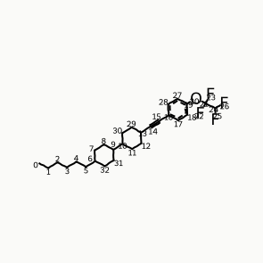 CCCCCCC1CCC(C2CCC(C#Cc3ccc(OC(F)(F)C(F)F)cc3)CC2)CC1